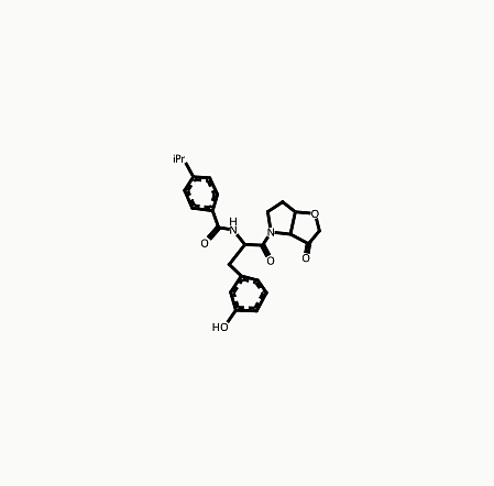 CC(C)c1ccc(C(=O)NC(Cc2cccc(O)c2)C(=O)N2CCC3OCC(=O)C32)cc1